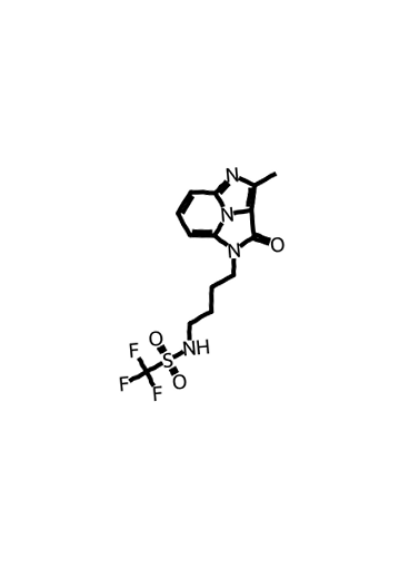 Cc1nc2cccc3n(CCCCNS(=O)(=O)C(F)(F)F)c(=O)c1n23